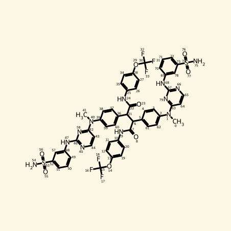 CN(c1ccc(C(C(=O)Nc2ccc(OC(F)(F)F)cc2)C(C(=O)Nc2ccc(OC(F)(F)F)cc2)c2ccc(N(C)c3ccnc(Nc4cccc(S(N)(=O)=O)c4)n3)cc2)cc1)c1ccnc(Nc2cccc(S(N)(=O)=O)c2)n1